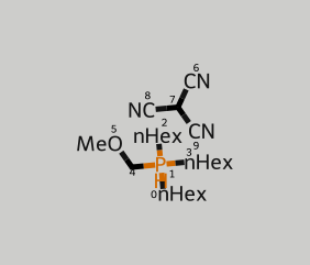 CCCCCC[PH](CCCCCC)(CCCCCC)COC.N#CC(C#N)C#N